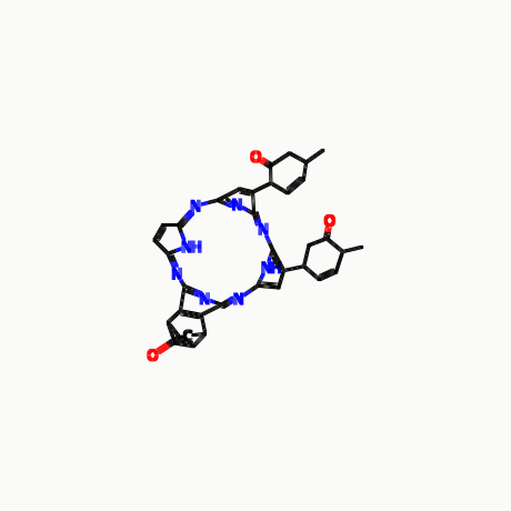 CC1C=CC(C2=Cc3nc2nc2[nH]c(cc2C2C=CC(C)C(=O)C2)nc2nc(nc4ccc(n3)[nH]4)C3=C2C2C=CC3C(=O)C2)C(=O)C1